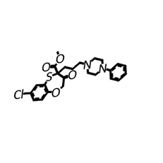 COC(=O)C1(CCCN2CCN(c3ccccc3)CC2)Sc2cc(Cl)ccc2OCC1=O